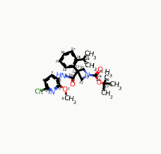 COc1nc(Cl)ccc1NC(=O)C1(c2ccccc2C(C)C)CN(C(=O)OC(C)(C)C)C1